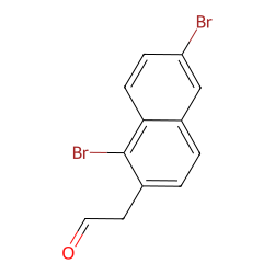 O=CCc1ccc2cc(Br)ccc2c1Br